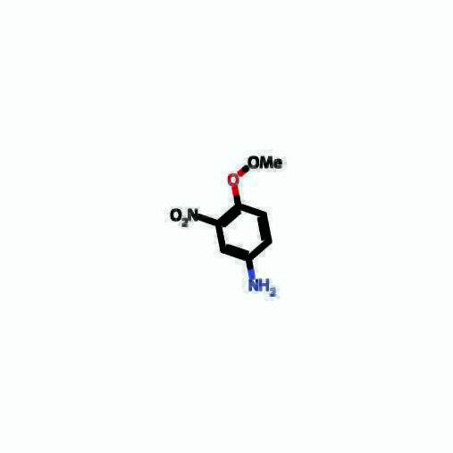 COOc1ccc(N)cc1[N+](=O)[O-]